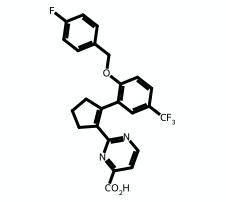 O=C(O)c1ccnc(C2=C(c3cc(C(F)(F)F)ccc3OCc3ccc(F)cc3)CCC2)n1